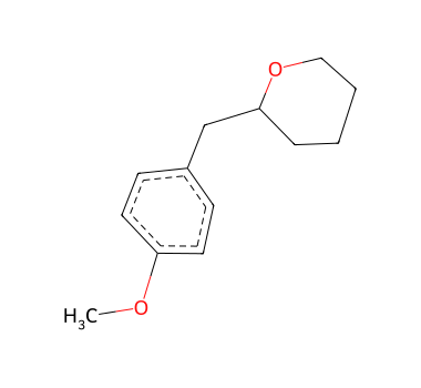 COc1ccc(CC2CCCCO2)cc1